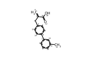 C=C(Cc1ccc(-c2cccc(C)c2)cc1)C(=O)O